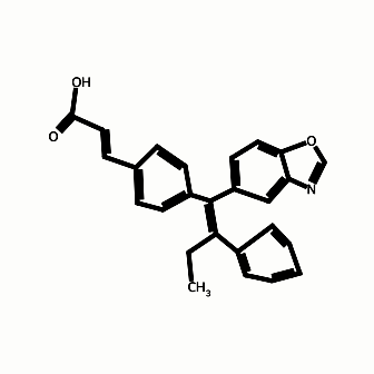 CCC(=C(c1ccc(C=CC(=O)O)cc1)c1ccc2ocnc2c1)c1ccccc1